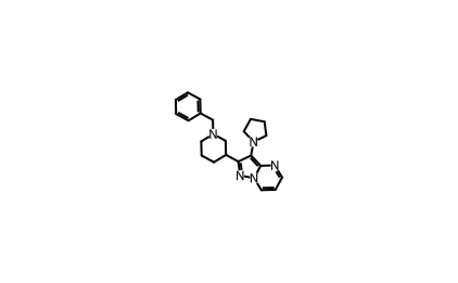 c1ccc(CN2CCCC(c3nn4cccnc4c3N3CCCC3)C2)cc1